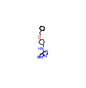 c1ccc(CCOC2CCC(CNc3ncnc4[nH]ncc34)CC2)cc1